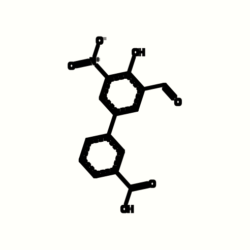 O=Cc1cc(-c2cccc(C(=O)O)c2)cc([N+](=O)[O-])c1O